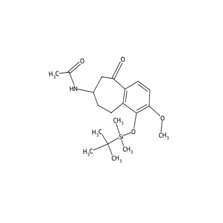 COc1ccc2c(c1O[Si](C)(C)C(C)(C)C)CCC(NC(C)=O)CC2=O